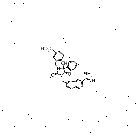 CC1(c2ccccc2)C(=O)N(Cc2ccc3ccc(C(=N)N)cc3c2)C(=O)N1Cc1cccc(C(=O)O)c1